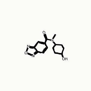 CN(C(=O)c1ccc2nonc2c1)C1CCC(O)CC1